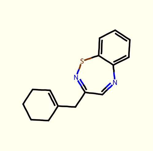 C1=Nc2ccccc2SN=C1CC1=CCCCC1